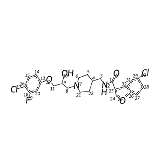 O=C(NCC1CCN(CC(O)COc2ccc(Cl)c(F)c2)CC1)c1coc2ccc(Cl)cc12